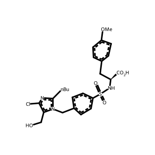 CCCCc1nc(Cl)c(CO)n1Cc1ccc(S(=O)(=O)N[C@@H](Cc2ccc(OC)cc2)C(=O)O)cc1